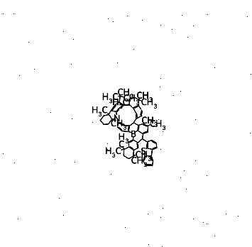 Cc1cc2c3c(c1)C(c1cccc4c1sc1ccccc14)c1cc4c(cc1B3c1ccc3cc1C2c1cc2c(cc1C)C(C)(C)CCC2(C)c1cc2c(cc1C(C)(C)C)C1(C)CCCCC1(C)N32)C(C)(C)CCC4(C)C